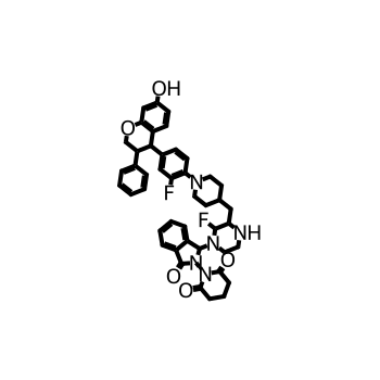 O=C1CCCC(=O)N1N1C(=O)c2ccccc2C1N1CCNC(CC2CCN(c3ccc(C4c5ccc(O)cc5OCC4c4ccccc4)cc3F)CC2)C1F